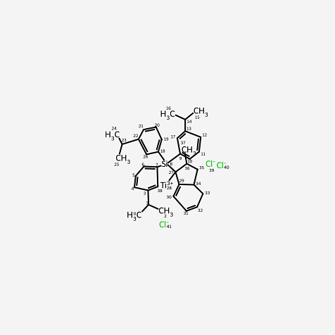 CC(C)c1cccc([Si](c2cccc(C(C)C)c2)(c2cccc(C(C)C)c2)[C]2([Ti+3])C3=CC=CCC3CC2C)c1.[Cl-].[Cl-].[Cl-]